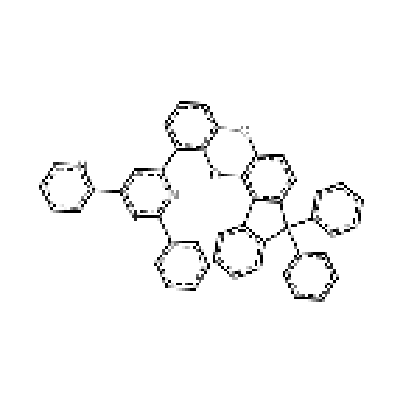 c1ccc(-c2nc(-c3ccccn3)cc(-c3cccc4c3Oc3c(ccc5c3-c3ccccc3C5(c3ccccc3)c3ccccc3)O4)n2)cc1